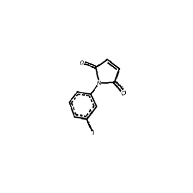 O=C1C=CC(=O)N1c1cccc(I)c1